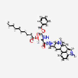 CCCCCCCCCC(=O)OC[C@H](NC(=O)OCc1ccccc1)C(=O)NC[C@@H]1CC2c3cccc4c3c(cn4C)C[C@H]2N(C)C1